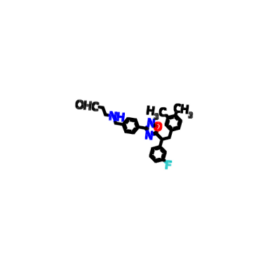 Cc1ccc(CC(c2cccc(F)c2)c2nc(-c3ccc(CNCCC=O)cc3)no2)cc1C